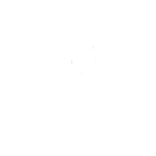 C=Cc1ccccc1C(=O)O[SiH2]C(C)(C)C(C)C